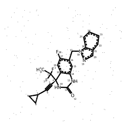 CC(F)(F)[C@@]1(C#CC2CC2)NC(=O)Nc2cc(Cn3ncc4ccccc43)c(F)cc21